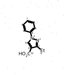 CCc1nn(-c2ccccc2)cc1C(=O)O